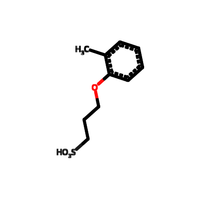 Cc1ccccc1OCCCS(=O)(=O)O